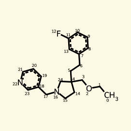 CCOCC1(CCc2cccc(F)c2)CCN(Cc2cccnc2)C1